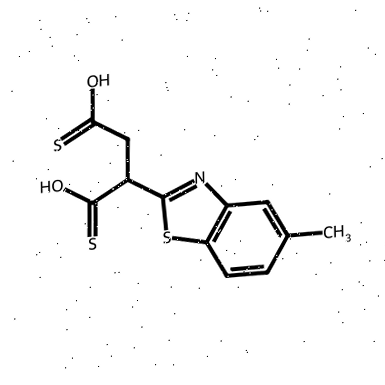 Cc1ccc2sc(C(CC(O)=S)C(O)=S)nc2c1